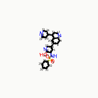 O=S(=O)(Nc1cc(-c2ccc3nccc(-c4ccncc4)c3c2)cnc1O)c1ccccc1